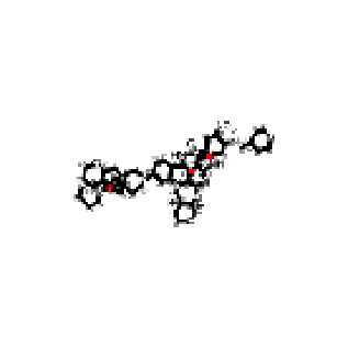 O=C(NS(=O)(=O)c1ccc(NCC2CCOCC2)c([N+](=O)[O-])c1)c1ccc(N2CCC3(CC2)CC(N2CCCC[C@]24CCOc2ccccc24)C3)cc1N1C[C@@H]2CCOC[C@@H]2Oc2nc3[nH]ccc3cc21